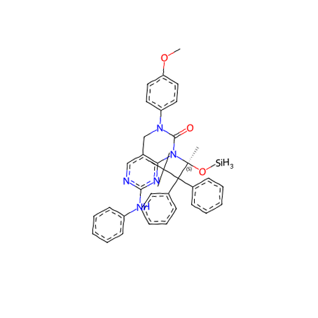 COc1ccc(N2Cc3cnc(Nc4ccccc4)nc3N([C@@](C)(O[SiH3])C(c3ccccc3)(c3ccccc3)C(C)(C)C)C2=O)cc1